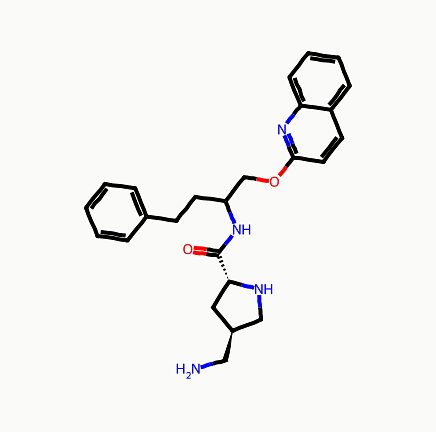 NC[C@@H]1CN[C@@H](C(=O)NC(CCc2ccccc2)COc2ccc3ccccc3n2)C1